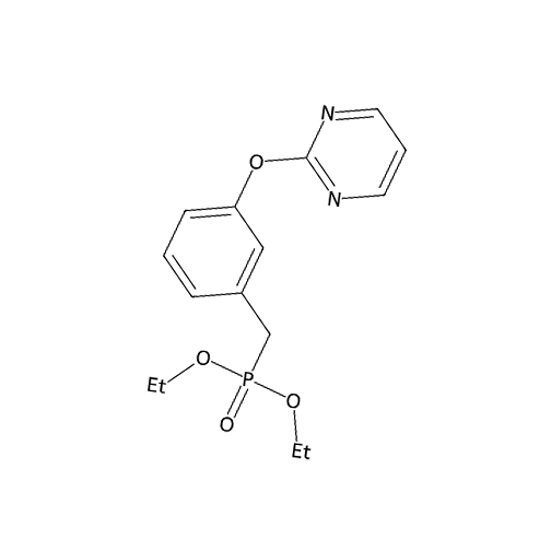 CCOP(=O)(Cc1cccc(Oc2ncccn2)c1)OCC